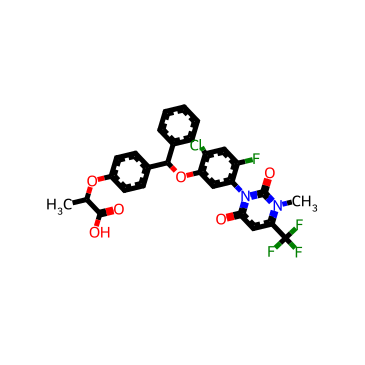 CC(Oc1ccc(C(Oc2cc(-n3c(=O)cc(C(F)(F)F)n(C)c3=O)c(F)cc2Cl)c2ccccc2)cc1)C(=O)O